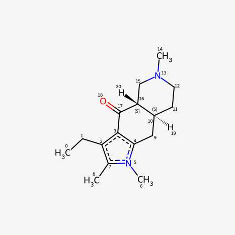 CCc1c2c(n(C)c1C)C[C@@H]1CCN(C)C[C@H]1C2=O